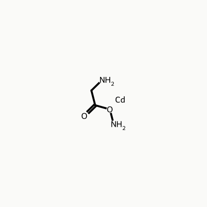 NCC(=O)ON.[Cd]